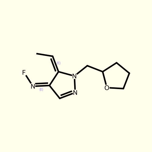 C/C=C1\C(=N/F)C=NN1CC1CCCO1